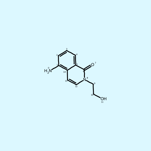 Nc1cccc2c(=O)n(CCO)ccc12